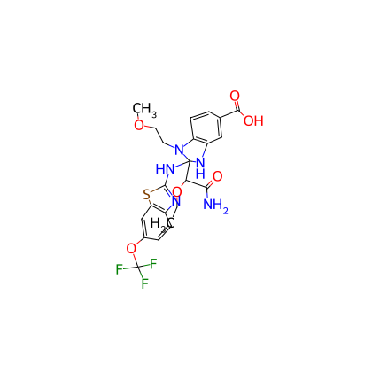 CCOC(C(N)=O)C1(Nc2nc3ccc(OC(F)(F)F)cc3s2)Nc2cc(C(=O)O)ccc2N1CCOC